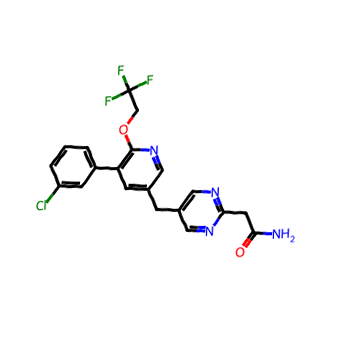 NC(=O)Cc1ncc(Cc2cnc(OCC(F)(F)F)c(-c3cccc(Cl)c3)c2)cn1